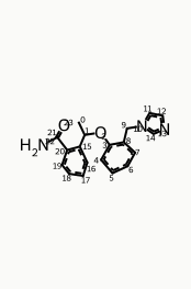 CC(Oc1ccccc1Cn1ccnc1)c1ccccc1C(N)=O